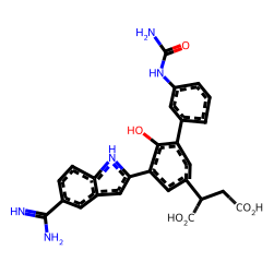 N=C(N)c1ccc2[nH]c(-c3cc(C(CC(=O)O)C(=O)O)cc(-c4cccc(NC(N)=O)c4)c3O)cc2c1